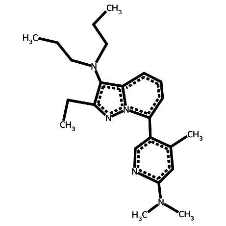 CCCN(CCC)c1c(CC)nn2c(-c3cnc(N(C)C)cc3C)cccc12